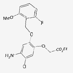 CCOC(=O)COc1cc(Cl)c(N)cc1OCc1c(F)cccc1OC